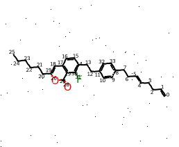 C=CCC/C=C/CCc1ccc(CCc2ccc3cc(CCCCCC)oc(=O)c3c2F)cc1